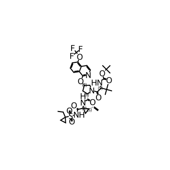 C=C[C@@H]1C[C@]1(NC(=O)[C@@H]1C[C@@H](Oc2nccc3c(OC(F)(F)F)cccc23)CN1C(=O)[C@@H](NC(=O)OC(C)(C)C)C(C)(C)C)C(=O)NS(=O)(=O)C1(CC)CC1